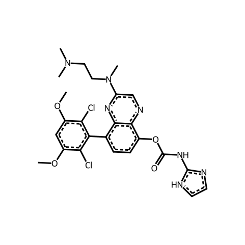 COc1cc(OC)c(Cl)c(-c2ccc(OC(=O)Nc3ncc[nH]3)c3ncc(N(C)CCN(C)C)nc23)c1Cl